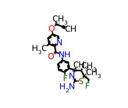 C#C[C@H](C)Oc1cnc(C(=O)Nc2ccc(F)c([C@@]3(C)N=C(N)S[C@](C)(CF)C3C)c2)c(C)c1